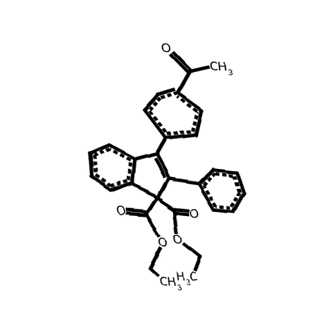 CCOC(=O)C1(C(=O)OCC)C(c2ccccc2)=C(c2ccc(C(C)=O)cc2)c2ccccc21